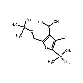 CC(C)(C)[Si](C)(C)OCc1oc([Si](C)(C)C)c(F)c1B(O)O